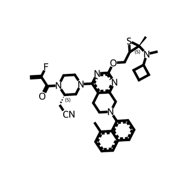 C=C(F)C(=O)N1CCN(c2nc(OCC3S[C@]3(C)N(C)C3CCC3)nc3c2CCN(c2cccc4cccc(C)c24)C3)C[C@@H]1CC#N